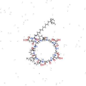 CC[C@@H](C)[C@@H]1NC(=O)[C@H]([C@@H](C)O)NC(=O)CC(=O)NC(=O)[C@H](CC(=O)O)NC(=O)CNC(=O)[C@H](CC(=O)O)NC(=O)CNC(=O)[C@@H]2CCCCN2C(=O)[C@@H](NC(=O)[C@H](CC(=O)O)NC(=O)/C=C/CCCCCCCCCC(C)C)CNC(=O)[C@@H]2CCCN2C1=O